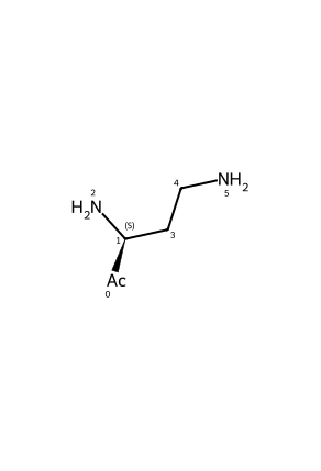 CC(=O)[C@@H](N)CCN